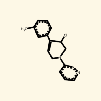 Cc1cccc(C2=CCN(c3cccnn3)CC2Cl)c1